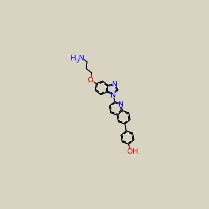 NCCCOc1ccc2c(c1)ncn2-c1ccc2cc(-c3ccc(O)cc3)ccc2n1